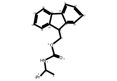 CC(C)C(C)NC(=O)OCC1c2ccccc2-c2ccccc21